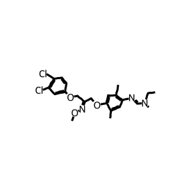 CCN(C)C=Nc1cc(C)c(OCC(COc2ccc(Cl)c(Cl)c2)=NOC)cc1C